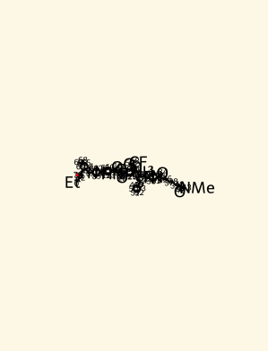 CCC12CC(C3=C(CN4CCN(c5ccc(C(=O)NS(=O)(=O)c6ccc(N[C@H](CCN7CCN(C(=O)CCCCCCC(=O)NC)CC7)CSc7ccccc7)c(S(=O)(=O)C(F)(F)F)c6)cc5)CC4)CCC(C)(C)C3)(C1)C2